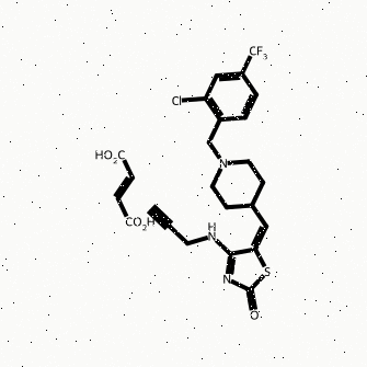 C#CCNC1=NC(=O)SC1=CC1CCN(Cc2ccc(C(F)(F)F)cc2Cl)CC1.O=C(O)C=CC(=O)O